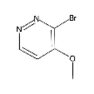 COc1ccnnc1Br